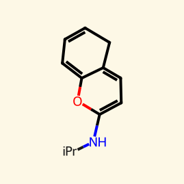 CC(C)NC1=CC=C2CC=CC=C2O1